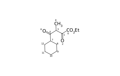 CCOC(=O)C(=O)C(C)C(=O)C1CCCCC1